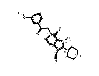 COc1cccc(C(=O)Cn2cnc3c(C#N)c(N4CCNCC4)n(C)c3c2=O)c1